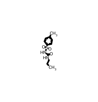 CCCNC(=O)NS(=O)(=O)c1ccc(C)cc1